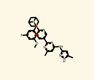 COc1cc(F)cc(CN2C3CC2CN(c2ccc(-c4nc(C)cc(Nc5cc(C)[nH]n5)n4)cn2)C3)c1